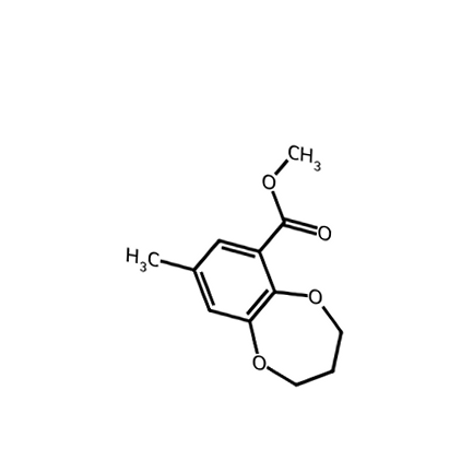 COC(=O)c1cc(C)cc2c1OCCCO2